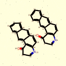 O=C1CC=Nc2ccc3cc4ccccc4cc3c21.O=C1CC=Nc2ccc3cc4ccccc4cc3c21